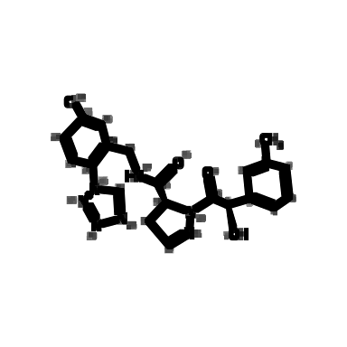 Cc1cccc([C@@H](O)C(=O)N2N=CC[C@H]2C(=O)NCc2cc(Cl)ccc2-n2cnnn2)c1